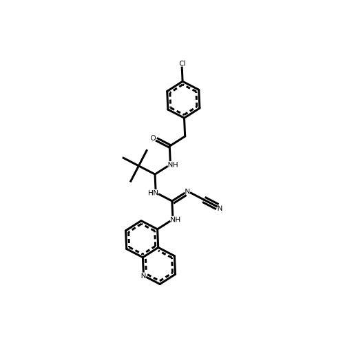 CC(C)(C)C(NC(=O)Cc1ccc(Cl)cc1)N/C(=N/C#N)Nc1cccc2ncccc12